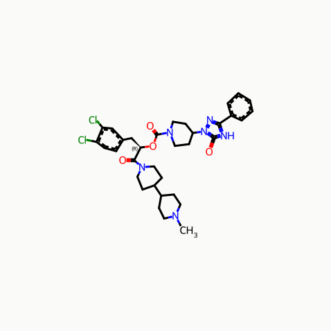 CN1CCC(C2CCN(C(=O)[C@@H](Cc3ccc(Cl)c(Cl)c3)OC(=O)N3CCC(n4nc(-c5ccccc5)[nH]c4=O)CC3)CC2)CC1